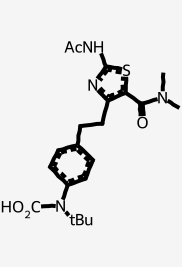 CC(=O)Nc1nc(CCc2ccc(N(C(=O)O)C(C)(C)C)cc2)c(C(=O)N(C)C)s1